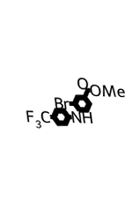 COC(=O)c1ccc(Nc2ccc(C(F)(F)F)cc2)c(Br)c1